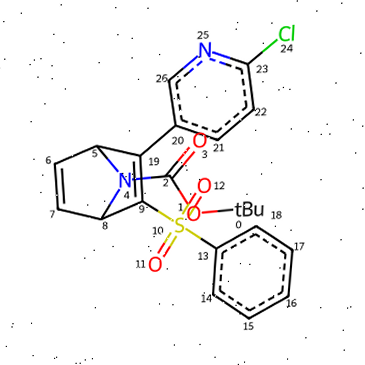 CC(C)(C)OC(=O)N1C2C=CC1C(S(=O)(=O)c1ccccc1)=C2c1ccc(Cl)nc1